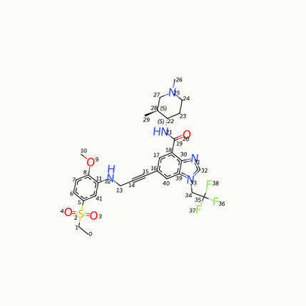 CCS(=O)(=O)c1ccc(OC)c(NCC#Cc2cc(C(=O)N[C@H]3CCN(C)C[C@@H]3C)c3ncn(CC(F)(F)F)c3c2)c1